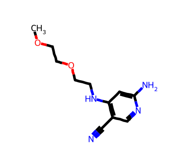 COCCOCCNc1cc(N)ncc1C#N